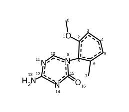 COc1cccc(C)c1-n1cnc(N)nc1=O